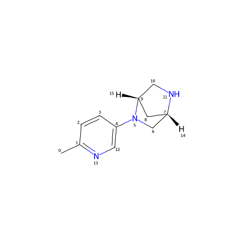 Cc1ccc(N2C[C@@H]3C[C@H]2CN3)cn1